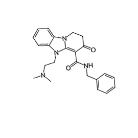 CN(C)CCN1C2=C(C(=O)NCc3ccccc3)C(=O)CCN2c2ccccc21